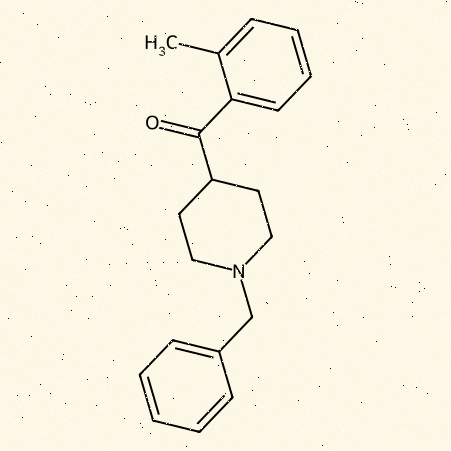 Cc1ccccc1C(=O)C1CCN(Cc2ccccc2)CC1